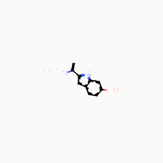 C=C(NC=O)c1cc2ccc(O)cc2[nH]1